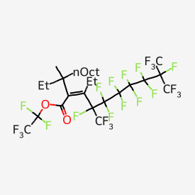 CCCCCCCCC(C)(CC)C(C(=O)OC(F)(F)C(F)(F)F)=C(CC)C(F)(C(F)(F)F)C(F)(F)C(F)(F)C(F)(F)C(F)(F)C(F)(C(F)(F)F)C(F)(F)F